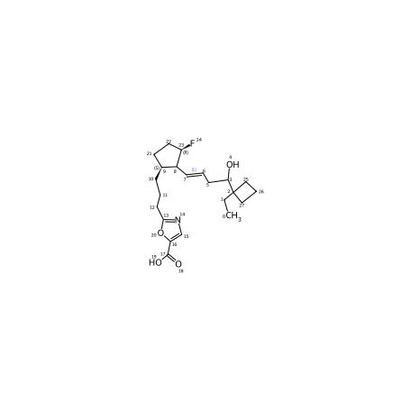 CCC1(C(O)C/C=C/C2[C@@H](CCCc3ncc(C(=O)O)o3)CC[C@H]2F)CCC1